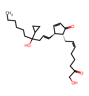 CCCCCCC(O)(C/C=C/[C@H]1C=CC(=O)[C@@H]1C/C=C\CCCC(=O)CO)C1CC1